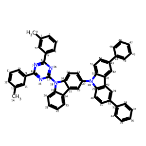 Cc1cccc(-c2nc(-c3cccc(C)c3)nc(-n3c4ccccc4c4cc(-n5c6ccc(-c7ccccc7)cc6c6cc(-c7ccccc7)ccc65)ccc43)n2)c1